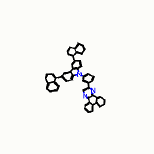 c1cc(-c2cnc3c4ccccc4c4ccccc4c3n2)cc(-n2c3ccc(-c4cccc5ccccc45)cc3c3cc(-c4cccc5ccccc45)ccc32)c1